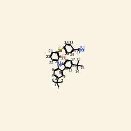 CC(C)(C)c1ccc2c(c1)c1cc(C(C)(C)C)cc3c1n2-c1cccc2c1B3c1cc(C#N)ccc1S2